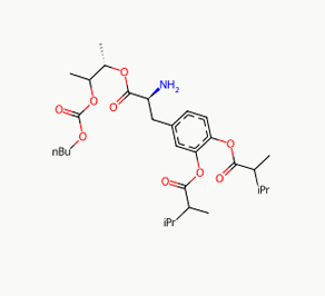 CCCCOC(=O)OC(C)[C@H](C)OC(=O)[C@@H](N)Cc1ccc(OC(=O)C(C)C(C)C)c(OC(=O)C(C)C(C)C)c1